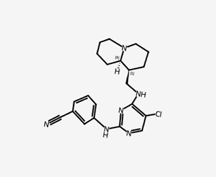 N#Cc1cccc(Nc2ncc(Cl)c(NC[C@@H]3CCCN4CCCC[C@H]34)n2)c1